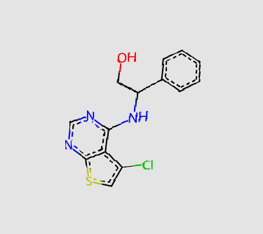 OCC(Nc1ncnc2scc(Cl)c12)c1ccccc1